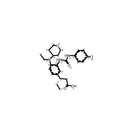 CC[C@@H](CC(=O)O)c1ccc(N(CC)C2CCOCC2)c(NC(=O)Nc2ccc(Cl)cc2)c1